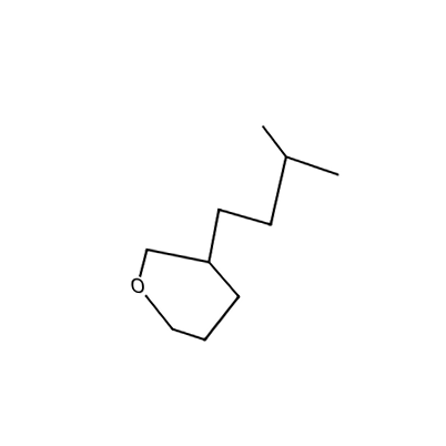 CC(C)CCC1CCCOC1